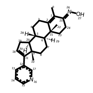 CC1=C2CC[C@@H]3[C@H](CC[C@]4(C)C(c5cccnc5)=CC[C@@H]34)[C@@]2(C)CC/C1=N\O